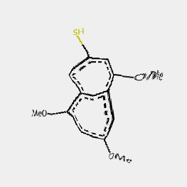 COc1cc(OC)c2cc(S)cc(OC)c2c1